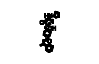 CC(CC(=O)N1CCC(O)(Cn2cnc(NC3CCCC3)cc2=O)CC1)c1ccccc1